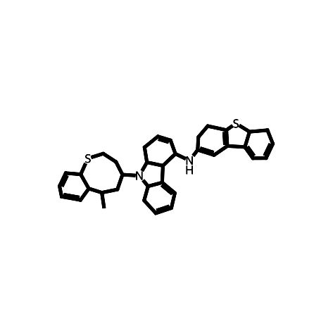 CC1CC(N2C3CC=CC=C3C3C(NC4=CC5=C(CC4)SC4CC=CC=C54)C=CCC32)CCSC2C=CC=CC12